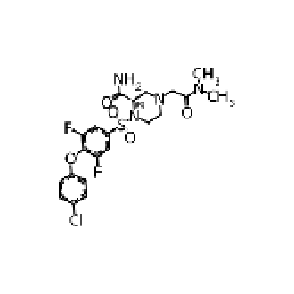 CN(C)C(=O)CN1CCN(S(=O)(=O)c2cc(F)c(Oc3ccc(Cl)cc3)c(F)c2)[C@@H](C(N)=O)C1